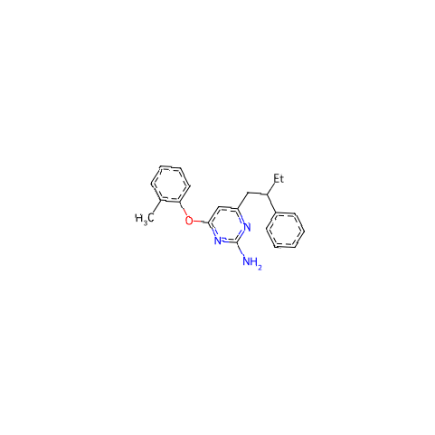 CCC(Cc1cc(Oc2ccccc2C)nc(N)n1)c1ccccc1